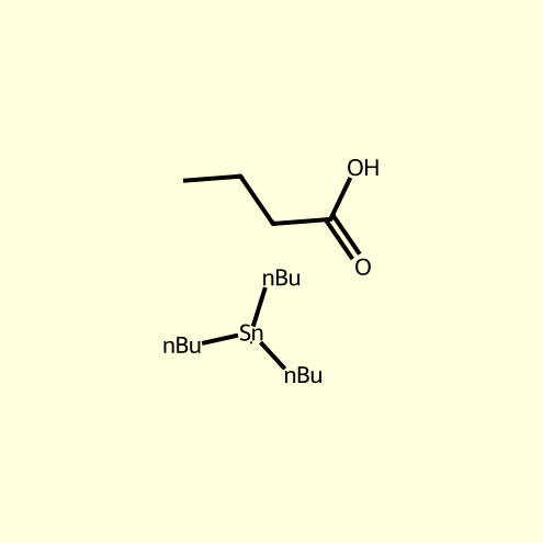 CCCC(=O)O.CCC[CH2][Sn]([CH2]CCC)[CH2]CCC